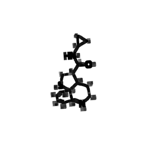 O=C(NC1CC1)C1CSC23C=CC=CC2=NCCC13